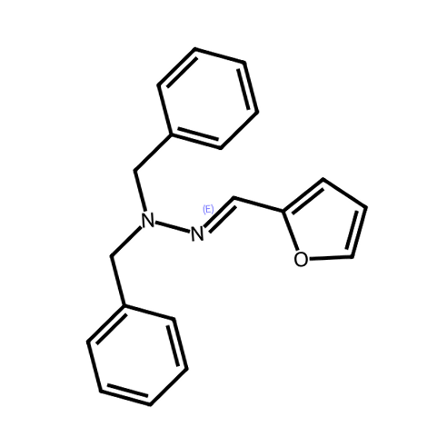 C(=N\N(Cc1ccccc1)Cc1ccccc1)/c1ccco1